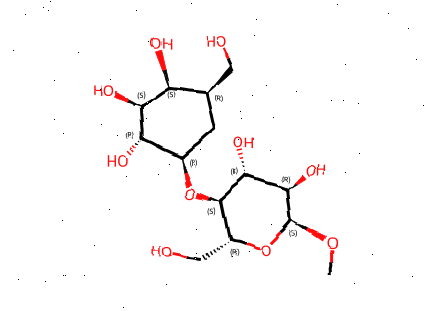 CO[C@H]1O[C@H](CO)[C@@H](O[C@@H]2C[C@H](CO)[C@H](O)[C@H](O)[C@H]2O)[C@H](O)[C@H]1O